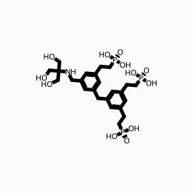 O=P(O)(O)CCc1cc(CCP(=O)(O)O)cc(Cc2cc(CCP(=O)(O)O)cc(CNC(CO)(CO)CO)c2)c1